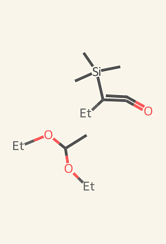 CCC(=C=O)[Si](C)(C)C.CCOC(C)OCC